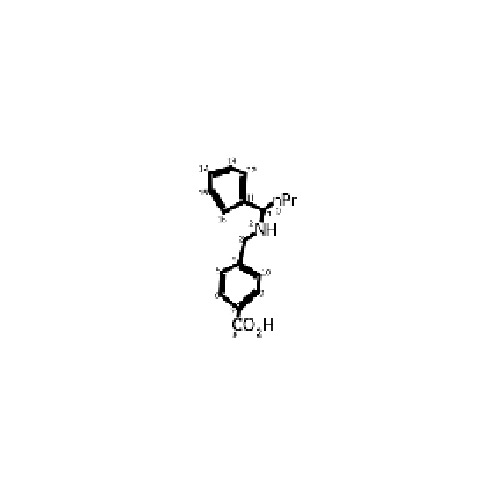 CCCC(NCc1ccc(C(=O)O)cc1)c1ccccc1